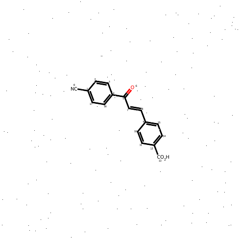 N#Cc1ccc(C(=O)/C=C/c2ccc(C(=O)O)cc2)cc1